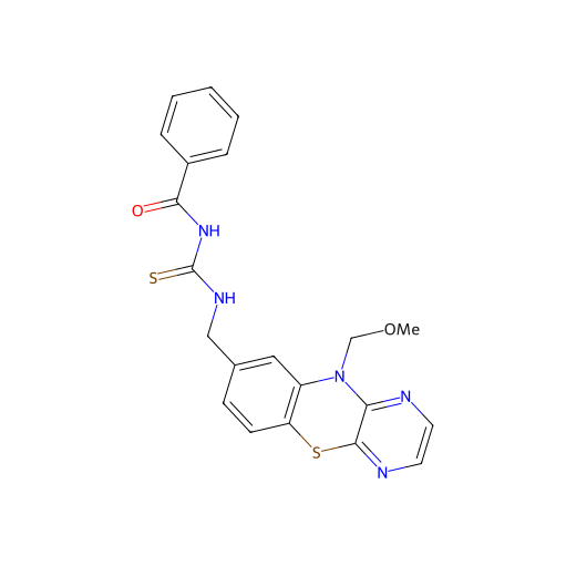 COCN1c2cc(CNC(=S)NC(=O)c3ccccc3)ccc2Sc2nccnc21